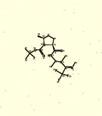 C/N=C(\N(C)C(C)NC(=O)[C@@H]1CC[C@H](C)N1C(=O)OC(C)(C)C)C(F)(F)F